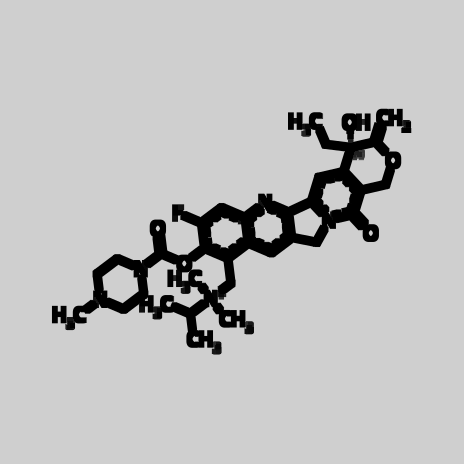 C=C1OCc2c(cc3n(c2=O)Cc2cc4c(C[N+](C)(C)C(C)C)c(OC(=O)N5CCN(C)CC5)c(F)cc4nc2-3)[C@@]1(O)CC